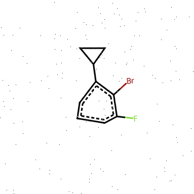 Fc1cccc(C2CC2)c1Br